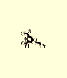 CC(C)CCOc1cc(C(=O)Cl)nc(C(=O)Cl)c1